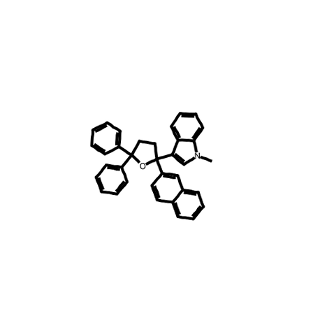 Cn1cc(C2(c3ccc4ccccc4c3)CCC(c3ccccc3)(c3ccccc3)O2)c2ccccc21